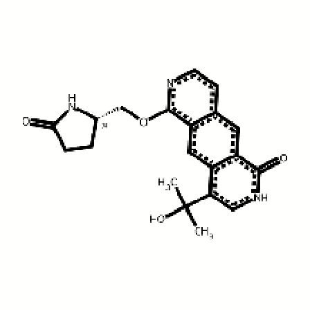 CC(C)(O)c1c[nH]c(=O)c2cc3ccnc(OC[C@@H]4CCC(=O)N4)c3cc12